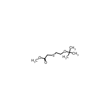 COC(=O)CSCCOC(C)(C)C